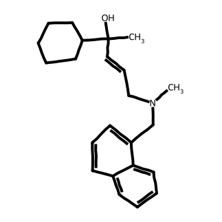 CN(CC=CC(C)(O)C1CCCCC1)Cc1cccc2ccccc12